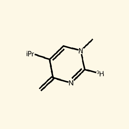 [3H]C1=NC(=C)C(C(C)C)=CN1C